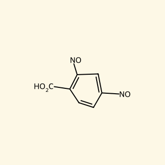 O=Nc1ccc(C(=O)O)c(N=O)c1